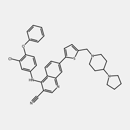 N#Cc1cnc2cc(-c3ccc(CN4CCC(N5CCCC5)CC4)s3)ccc2c1Nc1ccc(Oc2ccccc2)c(Cl)c1